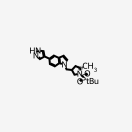 C[C@H]1CC(Cn2ccc3cc(-c4cn[nH]c4)ccc32)CN1S(=O)(=O)C(C)(C)C